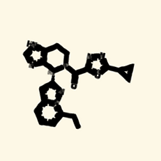 CCc1cccc2cc([C@@H]3c4nc[nH]c4CCN3C(=O)c3nnc(C4CC4)o3)nn12